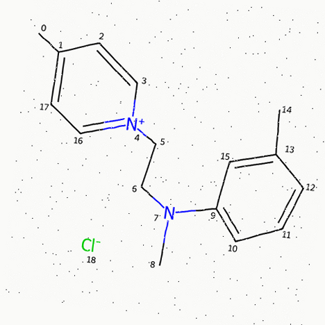 Cc1cc[n+](CCN(C)c2cccc(C)c2)cc1.[Cl-]